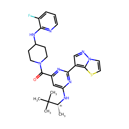 C[C@@H](Nc1cc(C(=O)N2CCC(Nc3ncccc3F)CC2)nc(-c2cnn3ccsc23)n1)C(C)(C)C